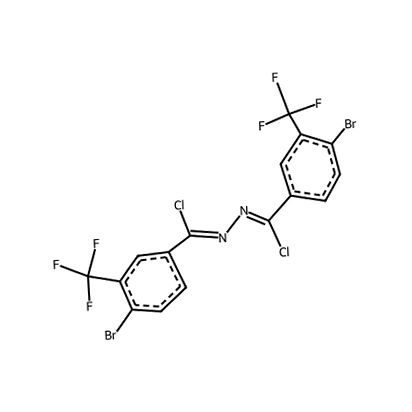 FC(F)(F)c1cc(C(Cl)=NN=C(Cl)c2ccc(Br)c(C(F)(F)F)c2)ccc1Br